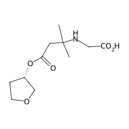 CC(C)(CC(=O)O[C@H]1CCOC1)NCC(=O)O